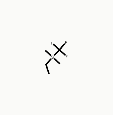 CC[Si](C)(C)C(F)(F)F